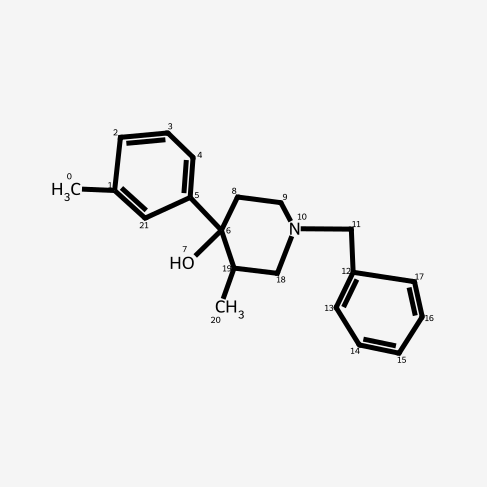 Cc1cccc(C2(O)CCN(Cc3ccccc3)CC2C)c1